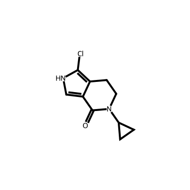 O=C1c2c[nH]c(Cl)c2CCN1C1CC1